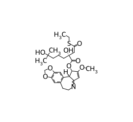 CCSC(=O)C[C@](O)(CCCC(C)(C)O)C(=O)OC1C(OC)=CC23CCCN2CCc2cc4c(cc2[C@H]13)OCO4